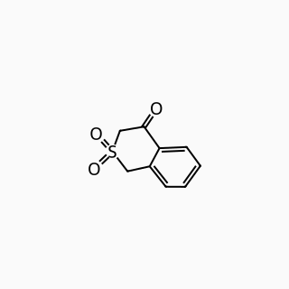 O=C1CS(=O)(=O)Cc2ccccc21